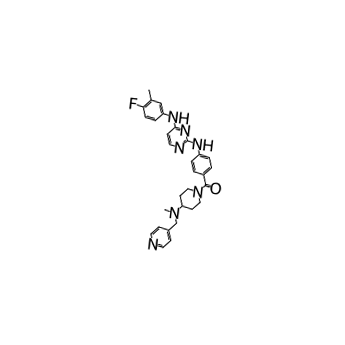 Cc1cc(Nc2ccnc(Nc3ccc(C(=O)N4CCC(N(C)Cc5ccncc5)CC4)cc3)n2)ccc1F